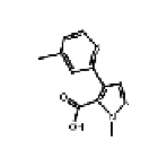 Cc1ccnc(-c2cnn(C)c2C(=O)O)c1